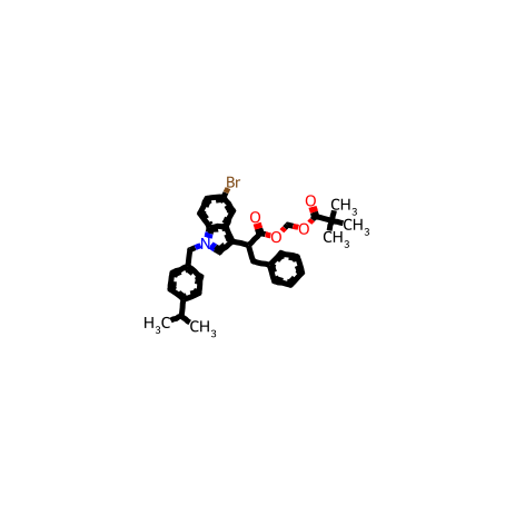 CC(C)c1ccc(Cn2cc(C(Cc3ccccc3)C(=O)OCOC(=O)C(C)(C)C)c3cc(Br)ccc32)cc1